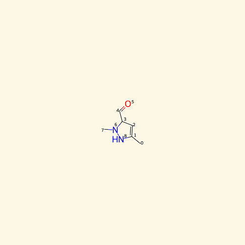 CC1=CC(C=O)N(C)N1